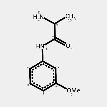 COc1cc[c]c(NC(=O)C(C)N)c1